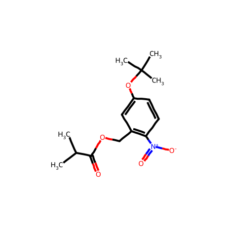 CC(C)C(=O)OCc1cc(OC(C)(C)C)ccc1[N+](=O)[O-]